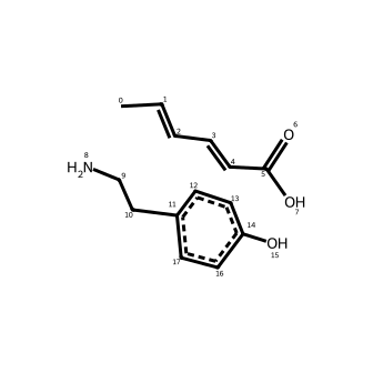 C/C=C/C=CC(=O)O.NCCc1ccc(O)cc1